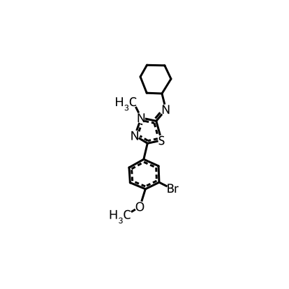 COc1ccc(-c2nn(C)/c(=N\C3CCCCC3)s2)cc1Br